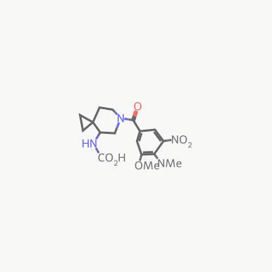 CNc1c(OC)cc(C(=O)N2CCC3(CC3)C(NC(=O)O)C2)cc1[N+](=O)[O-]